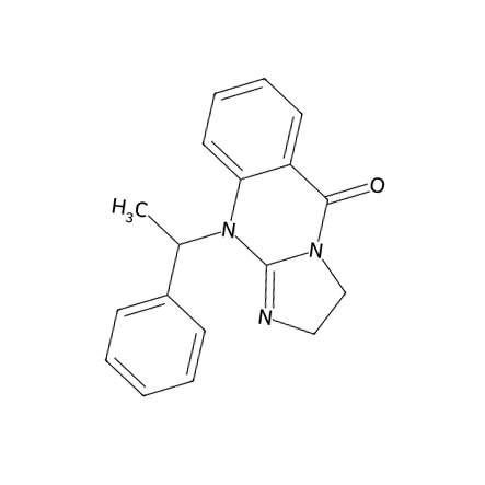 CC(c1ccccc1)N1C2=NCCN2C(=O)c2ccccc21